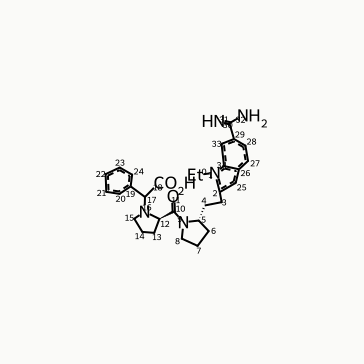 CCn1c(CC[C@@H]2CCCN2C(=O)[C@H]2CCCN2C(C(=O)O)c2ccccc2)cc2ccc(C(=N)N)cc21